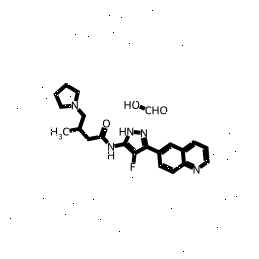 CC(CC(=O)Nc1[nH]nc(-c2ccc3ncccc3c2)c1F)CN1CCCC1.O=CO